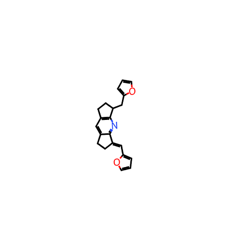 C(=C1/CCc2cc3c(nc21)C(Cc1ccco1)CC3)/c1ccco1